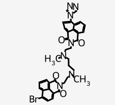 CN(CCCN(C)CCN1C(=O)c2cccc3c(-n4cnnc4)ccc(c23)C1=O)CCN1C(=O)c2cccc3c(Br)ccc(c23)C1=O